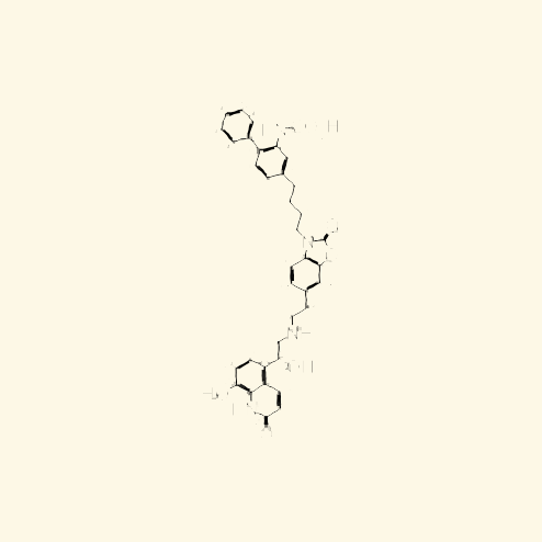 O=C(O)Nc1cc(CCCCn2c(=O)oc3cc(CCNC[C@H](O)c4ccc(O)c5[nH]c(=O)ccc45)ccc32)ccc1-c1ccccc1